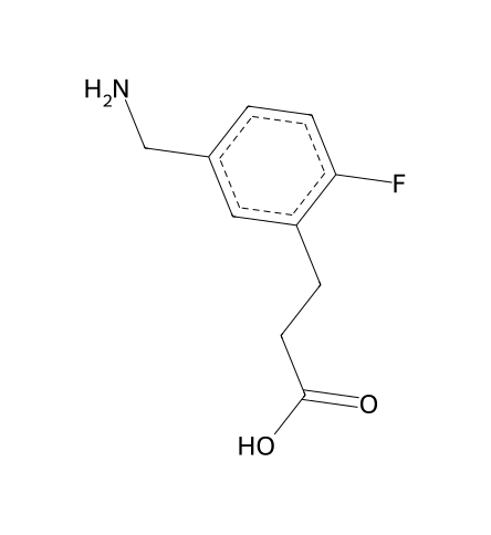 NCc1ccc(F)c(CCC(=O)O)c1